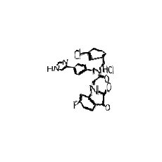 Cl.O=C1C(=O)N(CC(=O)N(Cc2cccc(Cl)c2)c2ccc(-c3c[nH]cn3)cc2)c2cc(F)ccc21